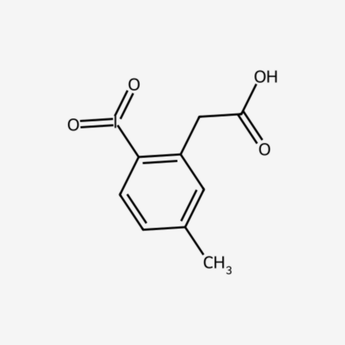 Cc1ccc(I(=O)=O)c(CC(=O)O)c1